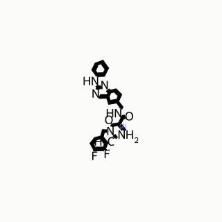 C=CN(Cc1ccc(F)c(F)c1)C(=O)/C(=C\N)C(=O)NCc1ccc2nc(Nc3ccccc3)ncc2c1